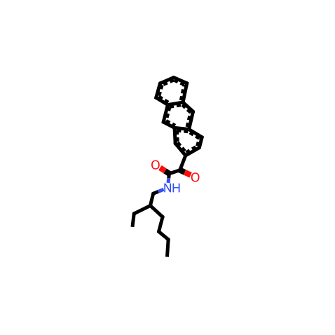 CCCCC(CC)CNC(=O)C(=O)c1ccc2cc3ccccc3cc2c1